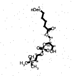 CCCCCCCCCCCCCCC(=O)OC[C@H](CO)OP(=O)([O-])OCC[N+](C)(C)C